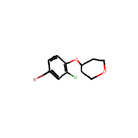 Clc1cc(Br)ccc1OC1CCOCC1